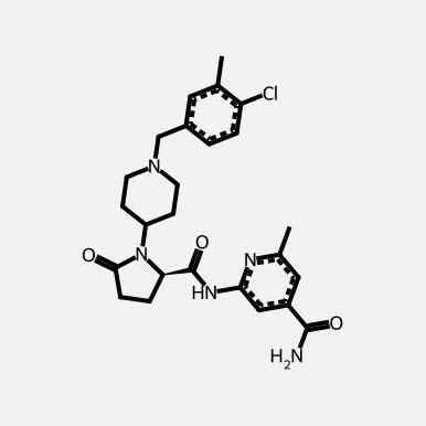 Cc1cc(C(N)=O)cc(NC(=O)[C@H]2CCC(=O)N2C2CCN(Cc3ccc(Cl)c(C)c3)CC2)n1